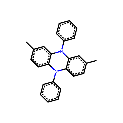 Cc1ccc2c(c1)N(c1ccccc1)c1cc(C)ccc1N2c1ccccc1